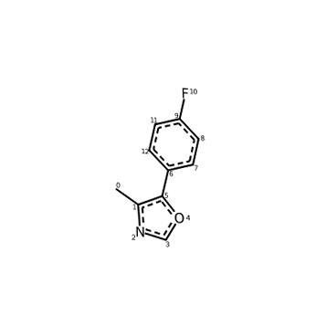 Cc1ncoc1-c1ccc(F)cc1